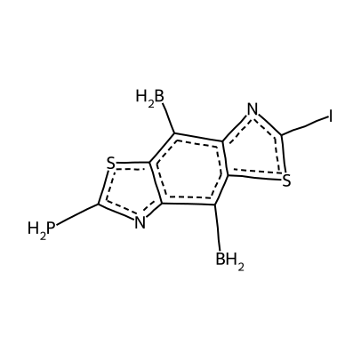 Bc1c2nc(I)sc2c(B)c2nc(P)sc12